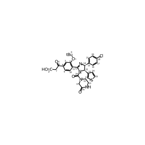 CC(C)(C)Oc1cc(C(=O)CC(=O)O)ccc1C1=N[C@@H](c2ccc(Cl)cc2)[C@@H](c2ccsc2)N1C(=O)N1CCNC(=O)C1